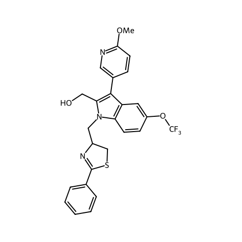 COc1ccc(-c2c(CO)n(CC3CSC(c4ccccc4)=N3)c3ccc(OC(F)(F)F)cc23)cn1